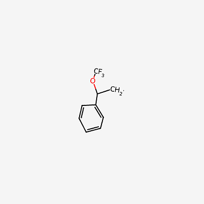 [CH2]C(OC(F)(F)F)c1ccccc1